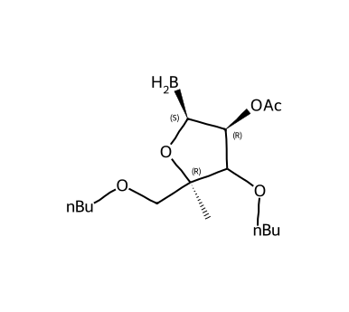 B[C@@H]1O[C@](C)(COCCCC)C(OCCCC)[C@@H]1OC(C)=O